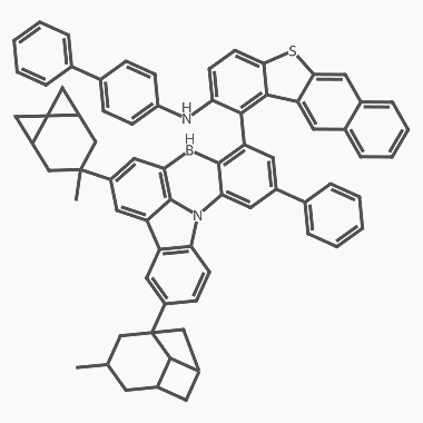 CC1CC2CC3CC(c4ccc5c(c4)c4cc(C6(C)CC7CC78CC8C6)cc6c4n5-c4cc(-c5ccccc5)cc(-c5c(Nc7ccc(-c8ccccc8)cc7)ccc7sc8cc9ccccc9cc8c57)c4B6)(C1)C23